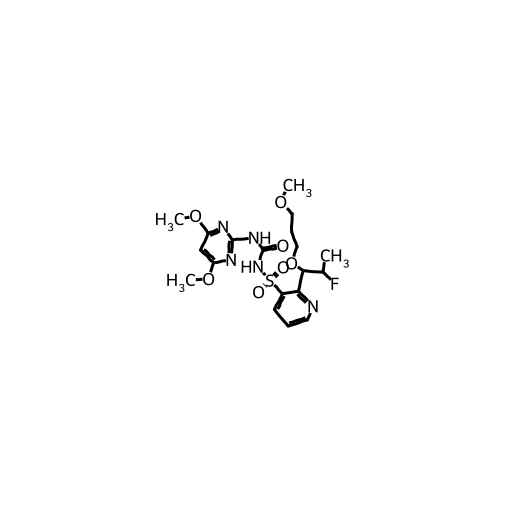 COCCCOC(c1ncccc1S(=O)(=O)NC(=O)Nc1nc(OC)cc(OC)n1)C(C)F